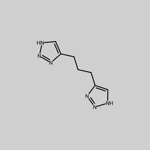 c1[nH]nnc1CCCc1c[nH]nn1